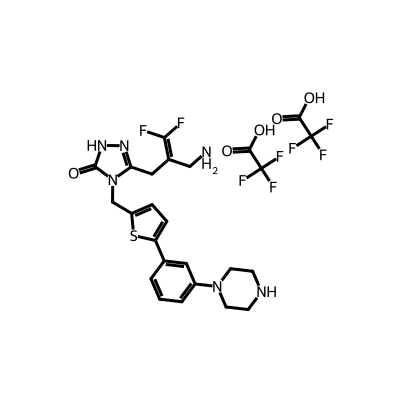 NCC(Cc1n[nH]c(=O)n1Cc1ccc(-c2cccc(N3CCNCC3)c2)s1)=C(F)F.O=C(O)C(F)(F)F.O=C(O)C(F)(F)F